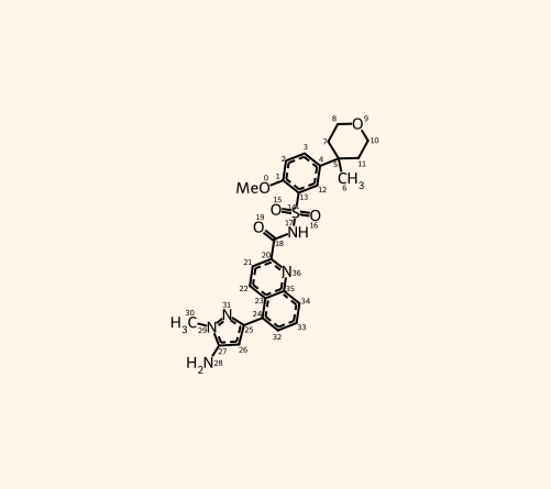 COc1ccc(C2(C)CCOCC2)cc1S(=O)(=O)NC(=O)c1ccc2c(-c3cc(N)n(C)n3)cccc2n1